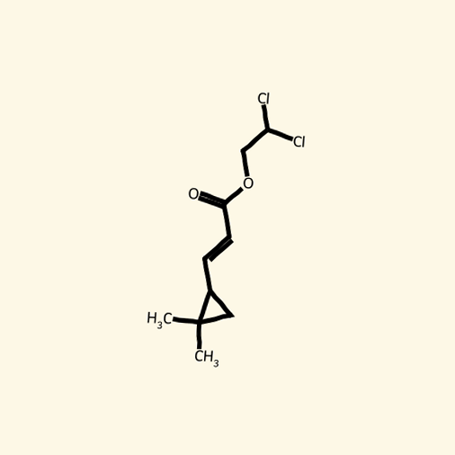 CC1(C)CC1C=CC(=O)OCC(Cl)Cl